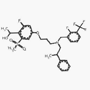 CC(O)c1c(F)cc(OCCCN(Cc2cccc(C(F)(F)F)c2F)CC(C)c2ccccc2)cc1S(C)(=O)=O